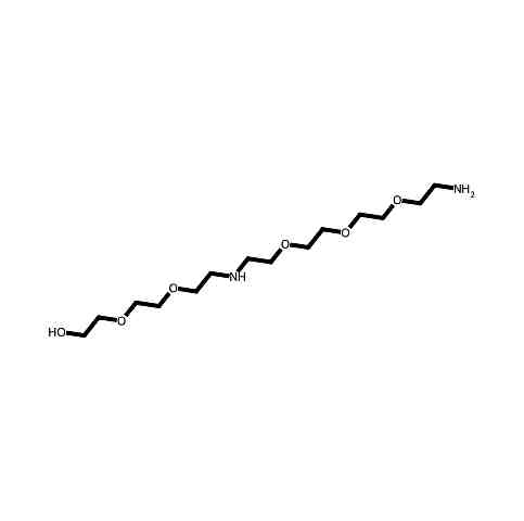 NCCOCCOCCOCCNCCOCCOCCO